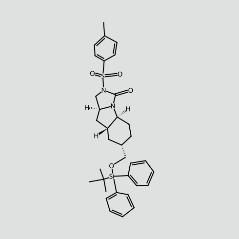 Cc1ccc(S(=O)(=O)N2C[C@@H]3C[C@H]4C[C@@H](CO[Si](c5ccccc5)(c5ccccc5)C(C)(C)C)CC[C@@H]4N3C2=O)cc1